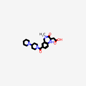 CN1Cc2cc(C(=O)N3CCC(N4CCCCC4)CC3)ccc2NC(CC(=O)O)C1=O